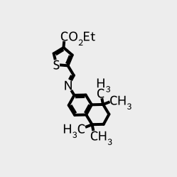 CCOC(=O)c1csc(C=Nc2ccc3c(c2)C(C)(C)CCC3(C)C)c1